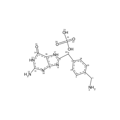 NCc1ccc(Cc2nc3nc(N)[nH]c(=O)c3[nH]2)cc1.O=S(=O)(O)O